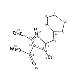 CCc1c(CC2CCCCC2)[nH]c(C=O)c1C(=O)OC